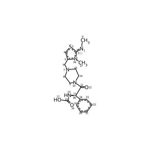 C/N=c1\scc(CN2CCN(C(=O)[C@H](NC(=O)O)c3ccccc3)CC2)n1C